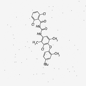 Cc1cc(C(C)(C)C)ccc1Oc1c(C)cc(NC(=O)NC(=O)c2c(Cl)cccc2Cl)c(C)c1Cl